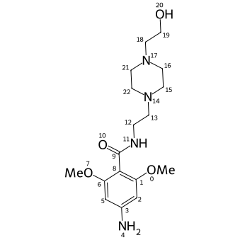 COc1cc(N)cc(OC)c1C(=O)NCCN1CCN(CCO)CC1